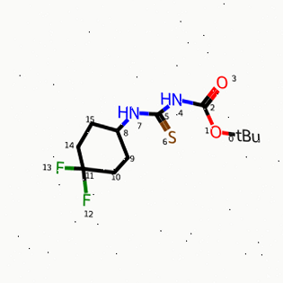 CC(C)(C)OC(=O)NC(=S)NC1CCC(F)(F)CC1